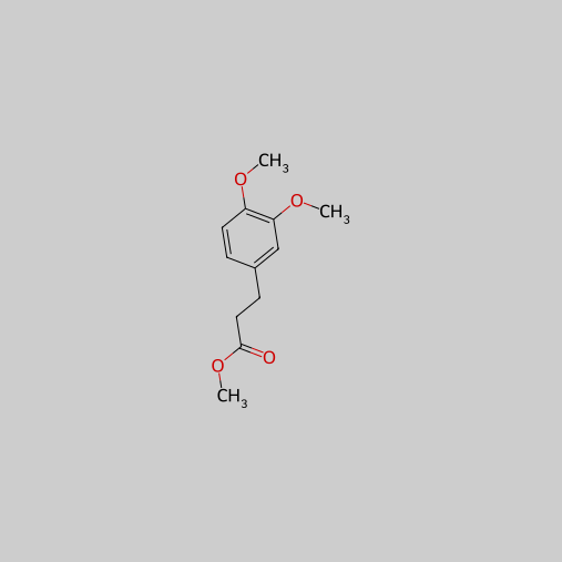 COC(=O)CCc1ccc(OC)c(OC)c1